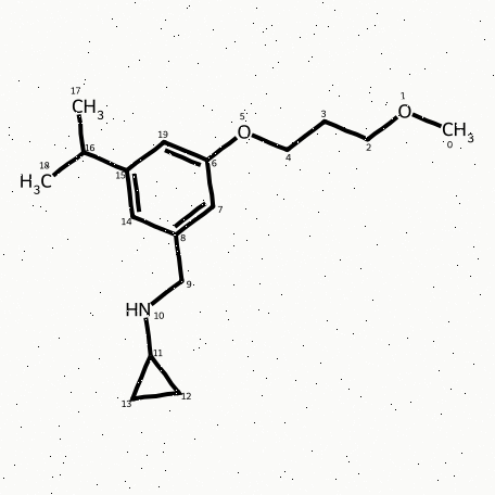 COCCCOc1cc(CNC2CC2)cc(C(C)C)c1